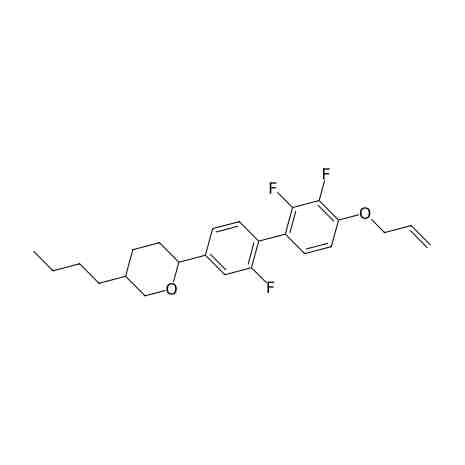 C=CCOc1ccc(-c2ccc(C3CCC(CCCC)CO3)cc2F)c(F)c1F